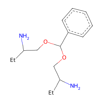 CCC(N)COC(OCC(N)CC)c1ccccc1